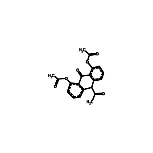 CC(=O)Oc1cccc2c1C(=O)c1c(OC(C)=O)cccc1C2C(C)=O